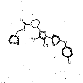 N#Cc1c(-c2ccc(Oc3ccc(Cl)cc3)cc2)nn(C2CCCN(C(=O)OCc3ccccc3)C2)c1N